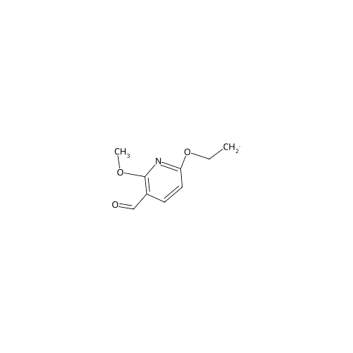 [CH2]COc1ccc(C=O)c(OC)n1